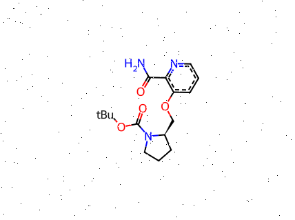 CC(C)(C)OC(=O)N1CCC[C@@H]1COc1cccnc1C(N)=O